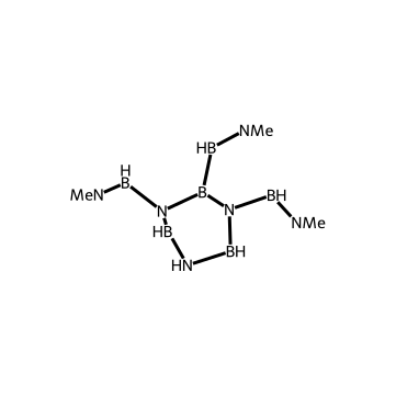 CNBB1N(BNC)BNBN1BNC